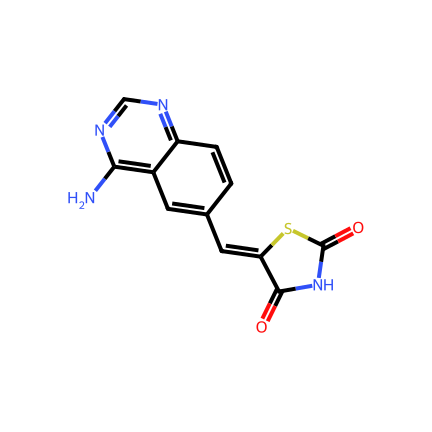 Nc1ncnc2ccc(/C=C3\SC(=O)NC3=O)cc12